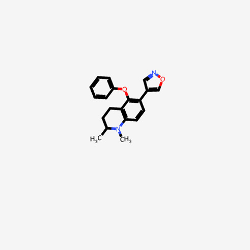 CC1CCc2c(ccc(-c3cnoc3)c2Oc2ccccc2)N1C